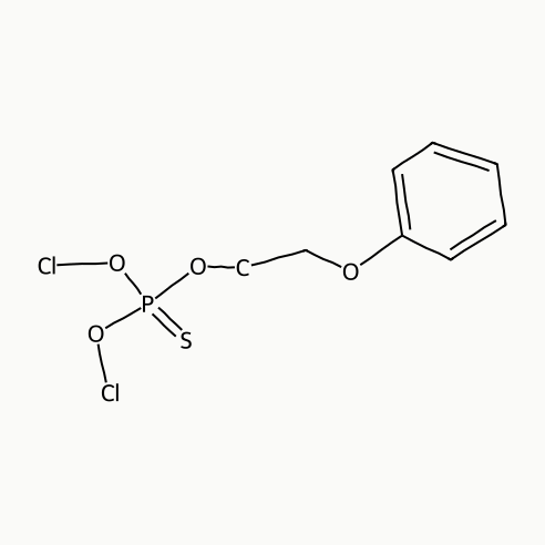 S=P(OCl)(OCl)OCCOc1ccccc1